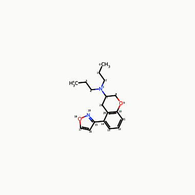 CCCN(CCC)C1COc2cccc(-c3ccon3)c2C1